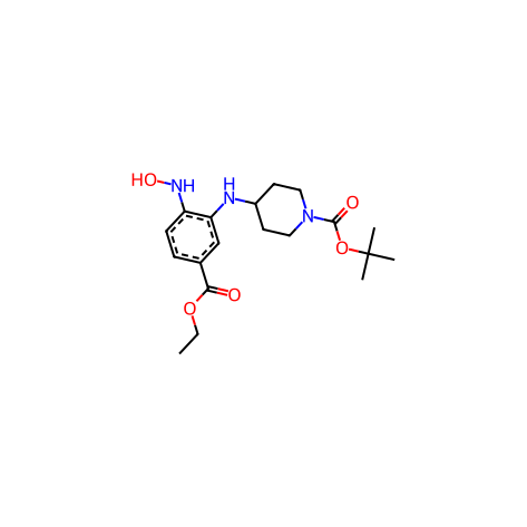 CCOC(=O)c1ccc(NO)c(NC2CCN(C(=O)OC(C)(C)C)CC2)c1